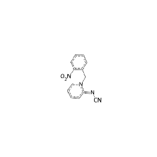 N#C/N=c1\ccccn1Cc1ccccc1[N+](=O)[O-]